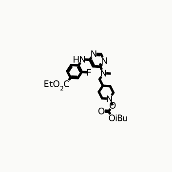 CCOC(=O)c1ccc(Nc2cc(N(C)CC3CCN(OC(=O)OCC(C)C)CC3)ncn2)c(F)c1